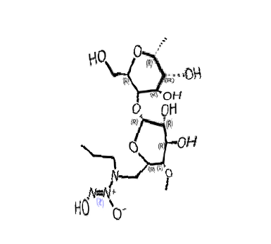 CCCN(C[C@H]1O[C@H](OC2[C@@H](CO)O[C@H](C)[C@H](O)[C@H]2O)[C@H](O)[C@@H](O)[C@@H]1OC)/[N+]([O-])=N/O